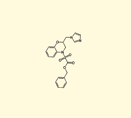 O=C(OCc1ccccc1)S(=O)(=O)N1CC(Cn2ccnc2)Oc2ccccc21